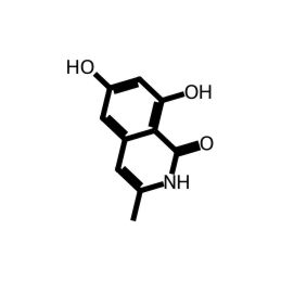 Cc1cc2cc(O)cc(O)c2c(=O)[nH]1